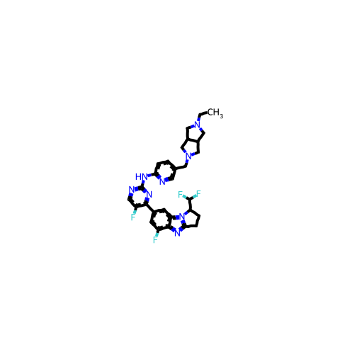 CCN1CC2CN(Cc3ccc(Nc4ncc(F)c(-c5cc(F)c6nc7n(c6c5)C(C(F)F)CC7)n4)nc3)CC2C1